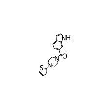 O=C(c1ccc2cc[nH]c2c1)N1CCN(c2cccs2)CC1